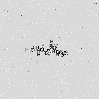 CCC(=O)Nc1cncc(-c2cnc3[nH]nc(-c4cc5c(-c6cc(F)cc(NCCN(C)C)c6)ccnc5[nH]4)c3c2)c1